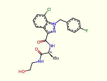 CC(C)(C)[C@H](NC(=O)c1nn(Cc2ccc(F)cc2)c2c(Cl)cccc12)C(=O)NCCO